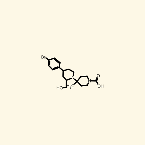 CC1(N2CCC(c3ccc(Br)cc3)CC2CO)CCN(C(=O)O)CC1